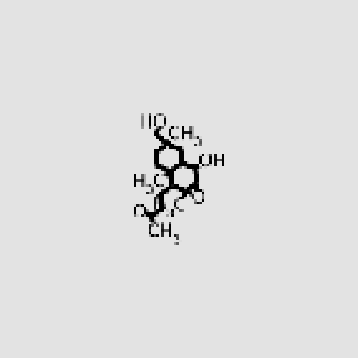 CC(=O)/C=C/C1C2(C)CCC(C)(CO)CC2C(O)C2OC21C